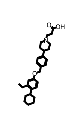 CCc1cc(OCc2ccc(C3CCN(CCC(=O)O)CC3)cc2)ccc1C1CCCCC1